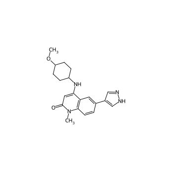 COC1CCC(Nc2cc(=O)n(C)c3ccc(-c4cn[nH]c4)cc23)CC1